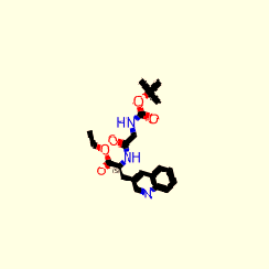 CCOC(=O)[C@H](Cc1cnc2ccccc2c1)NC(=O)CNC(=O)OC(C)(C)C